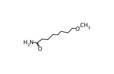 COCCCCCCCC(N)=O